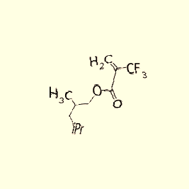 C=C(C(=O)OCC(C)CC(C)C)C(F)(F)F